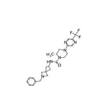 C[C@@H]1CN(c2cnc(C(F)(F)F)cn2)CCN1C(=O)NC1CC2(C1)CN(Cc1ccccc1)C2